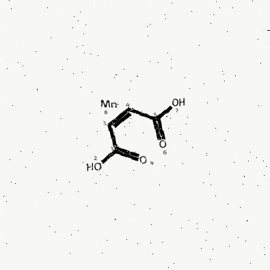 O=C(O)/C=C\C(=O)O.[Mn]